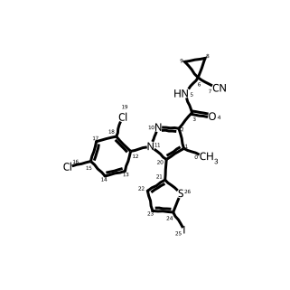 Cc1c(C(=O)NC2(C#N)CC2)nn(-c2ccc(Cl)cc2Cl)c1-c1ccc(I)s1